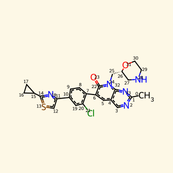 Cc1ncc2cc(-c3ccc(-c4csc(C5CC5)n4)cc3Cl)c(=O)n(C[C@H]3CNCCO3)c2n1